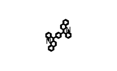 c1ccc2c(c1)ccc1c(-c3ccc(-c4c5ccccc5nc5c4ccc4ccccc45)cc3)c3ccccc3nc12